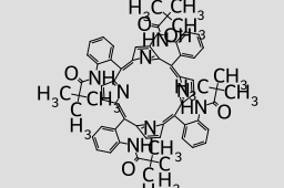 CC(C)(C)C(=O)Nc1ccccc1C1=C2C=CC(=N2)C(c2ccccc2NC(=O)C(C)(C)C)=C2C=C(CO)C(=N2)C(c2ccccc2NC(=O)C(C)(C)C)=C2C=CC(=N2)C(c2ccccc2NC(=O)C(C)(C)C)=C2C=CC1=N2